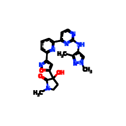 Cc1nn(C)cc1Nc1nccc(-c2cccc(-c3cc(C4(O)CCN(C)C4=O)on3)n2)n1